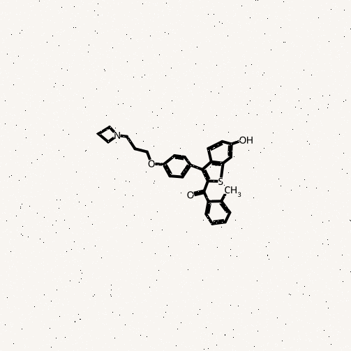 Cc1ccccc1C(=O)c1sc2cc(O)ccc2c1-c1ccc(OCCCN2CCC2)cc1